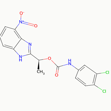 C[C@H](OC(=O)Nc1ccc(Cl)c(Cl)c1)c1nc2c([N+](=O)[O-])cccc2[nH]1